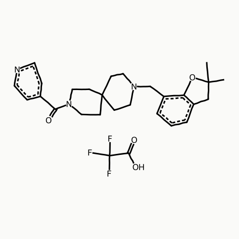 CC1(C)Cc2cccc(CN3CCC4(CC3)CCN(C(=O)c3ccncc3)CC4)c2O1.O=C(O)C(F)(F)F